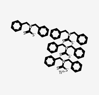 S=C([S-])N(Cc1ccccc1)Cc1ccccc1.S=C([S-])N(Cc1ccccc1)Cc1ccccc1.S=C([S-])N(Cc1ccccc1)Cc1ccccc1.S=C([S-])N(Cc1ccccc1)Cc1ccccc1.[Ti+4]